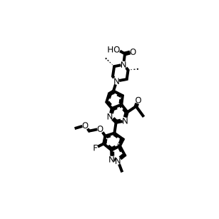 COCOc1c(-c2nc(C(C)=O)c3cc(N4C[C@@H](C)N(C(=O)O)[C@@H](C)C4)ccc3n2)cc2cn(C)nc2c1F